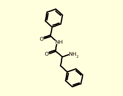 NC(Cc1ccccc1)C(=O)NC(=O)c1ccccc1